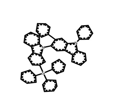 c1ccc(-c2cc3c(cc2-n2c4ccccc4c4ccc([Si](c5ccccc5)(c5ccccc5)c5ccccc5)cc42)c2ccccc2n3-c2ccccc2)cc1